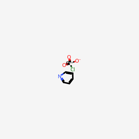 [O]=[Cr+](=[O])([O-])[Cl].c1ccncc1